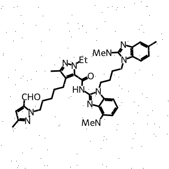 CCn1nc(C)c(CCCCCn2nc(C)cc2C=O)c1C(=O)Nc1nc2c(NC)cccc2n1CCCCn1c(NC)nc2cc(C)ccc21